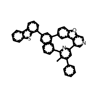 Cc1c(-c2ccccc2)cc(-c2cncc3oc4ccc(-c5cccc(-c6cccc7c6sc6ccccc67)c5)cc4c23)nc1-c1ccccc1